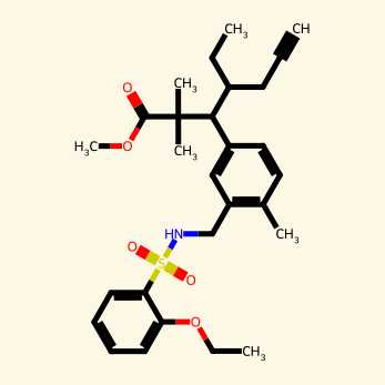 C#CCC(CC)C(c1ccc(C)c(CNS(=O)(=O)c2ccccc2OCC)c1)C(C)(C)C(=O)OC